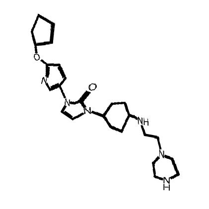 O=c1n(-c2ccc(OC3CCCC3)nc2)ccn1C1CCC(NCCN2CCNCC2)CC1